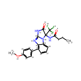 CCCC(=O)NC1(C(F)(F)F)C(=O)Nc2nc3c(-c4ccc(OC)cc4)cccc3n21